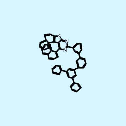 c1ccc(-c2cc(-c3ccccc3)cc(-c3cccc(-c4cccc(-c5nc(-c6cccc7ccccc67)c6c(n5)sc5ccc7ccccc7c56)c4)c3)c2)cc1